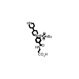 CCCCS(=O)(=O)Nc1cc(C(=O)NCCC(=O)O)ccc1N1CCC(C2CCNCC2)CC1